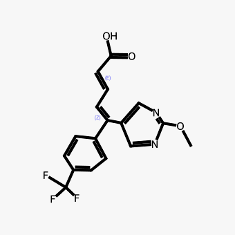 COc1ncc(/C(=C\C=C\C(=O)O)c2ccc(C(F)(F)F)cc2)cn1